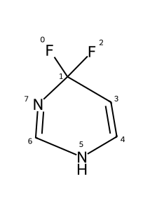 FC1(F)C=CNC=N1